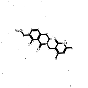 COCc1ccc2c(c1Cl)C(=O)N(Cc1c(C)cc(C)[nH]c1=O)CC2